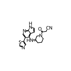 N#CCC(=O)N1CCC[C@@H](Nc2c(-c3cncs3)cnc3[nH]ccc23)C1